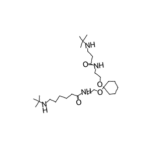 CC(C)(C)NCCCCCC(=O)NCCOC1(OCCNC(=O)CCNC(C)(C)C)CCCCC1